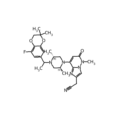 CC(c1cc(F)c2c(c1)OC(C)(C)CO2)N1C[C@H](C)N(c2cc(=O)n(C)n3cc(CC#N)nc23)C[C@H]1C